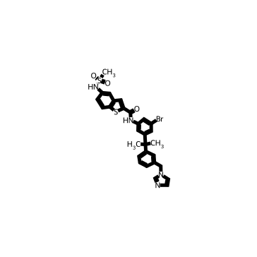 CC(C)(c1cccc(Cn2ccnc2)c1)c1cc(Br)cc(NC(=O)c2cc3cc(NS(C)(=O)=O)ccc3s2)c1